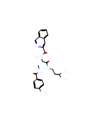 Cc1ccc(C(=O)NC[C@H](NC(=O)c2cc3ccccc3cn2)C(=O)N[CH]CC(C)C)cc1